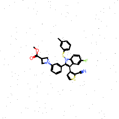 COC(=O)C1CN(c2cccc(-c3c(-c4ccsc4C#N)c4cc(F)ccc4n3Sc3cccc(C)c3)c2)C1